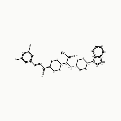 Cc1cc(F)cc(/C=C/C(=O)N2CCC(C(N[C@H]3CC[C@H](c4c[nH]c5ccccc54)CC3)C(=O)O)CC2)c1